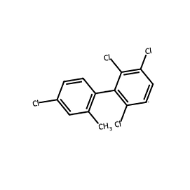 Cc1cc(Cl)ccc1-c1c(Cl)[c]cc(Cl)c1Cl